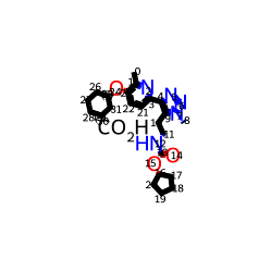 Cc1nc(-c2nnn(C)c2CCNC(=O)OC2CCCC2)ccc1O[C@H]1CCC[C@H](C(=O)O)C1